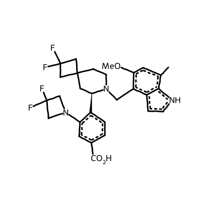 COc1cc(C)c2[nH]ccc2c1CN1CCC2(C[C@@H]1c1ccc(C(=O)O)cc1N1CC(F)(F)C1)CC(F)(F)C2